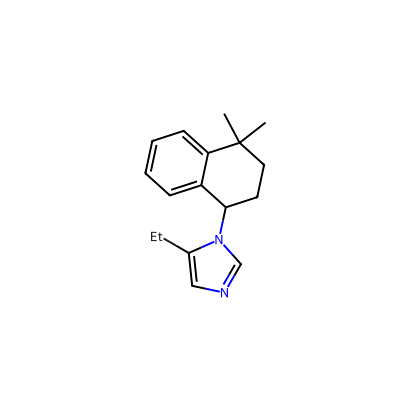 CCc1cncn1C1CCC(C)(C)c2ccccc21